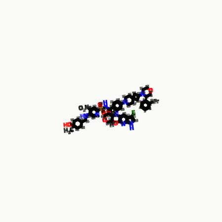 CC(C)c1ccccc1[C@@H]1COCCN1C1CC2(CCN(c3ccc(C(=O)NS(=O)(=O)c4cc([N+](=O)[O-])c(NCC5CCC(C)(O)CC5)cn4)c(N4c5cc6c(F)c[nH]c6nc5O[C@H]5COCC[C@@H]54)c3)CC2)C1